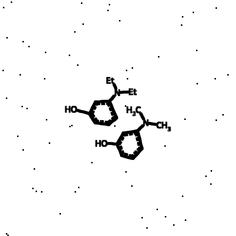 CCN(CC)c1cccc(O)c1.CN(C)c1cccc(O)c1